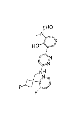 CN(C=O)c1cccc(-c2ccc(NCC3(c4ncccc4F)CC(F)C3)nn2)c1O